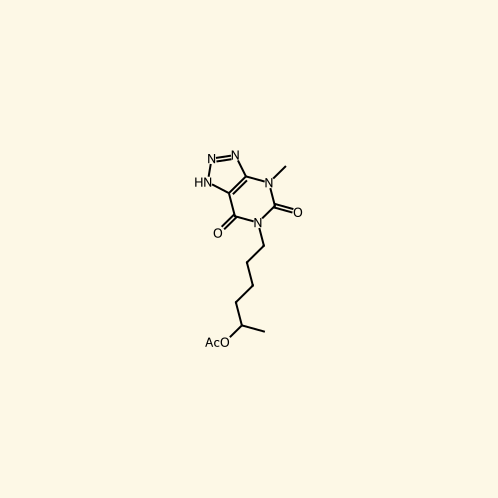 CC(=O)OC(C)CCCCn1c(=O)c2[nH]nnc2n(C)c1=O